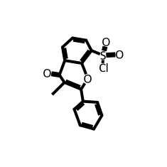 Cc1c(-c2ccccc2)oc2c(S(=O)(=O)Cl)cccc2c1=O